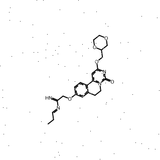 CC/C=N/C(=N)COc1ccc2c(c1)CCn1c-2cc(OCC2COCCO2)nc1=O